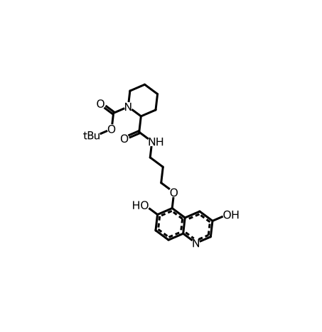 CC(C)(C)OC(=O)N1CCCCC1C(=O)NCCCOc1c(O)ccc2ncc(O)cc12